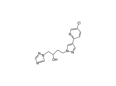 OC(CCn1cc(-c2ccc(Cl)cn2)cn1)Cn1cncn1